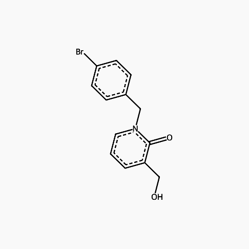 O=c1c(CO)cccn1Cc1ccc(Br)cc1